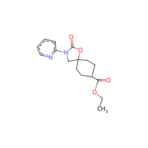 CCOC(=O)C1CCC2(CC1)CN(c1ccccn1)C(=O)O2